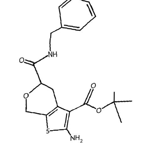 CC(C)(C)OC(=O)c1c(N)sc2c1CC(C(=O)NCc1ccccc1)OC2